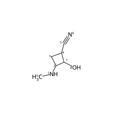 CNC1CC(C#N)C1O